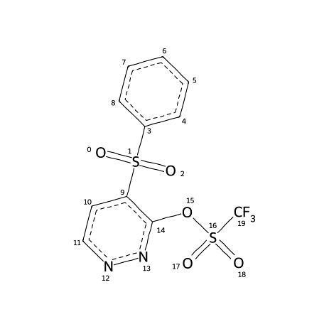 O=S(=O)(c1ccccc1)c1ccnnc1OS(=O)(=O)C(F)(F)F